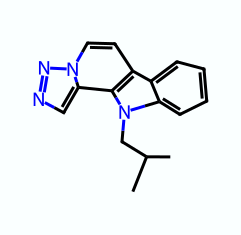 CC(C)Cn1c2ccccc2c2ccn3nncc3c21